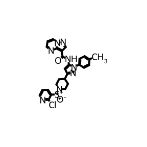 Cc1ccc(-n2nc(C3CCN([S+]([O-])c4cccnc4Cl)CC3)cc2NC(=O)c2cnn3cccnc23)cc1